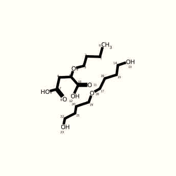 CCCCOC(CC(=O)O)C(=O)O.OCCCCOCCCCO